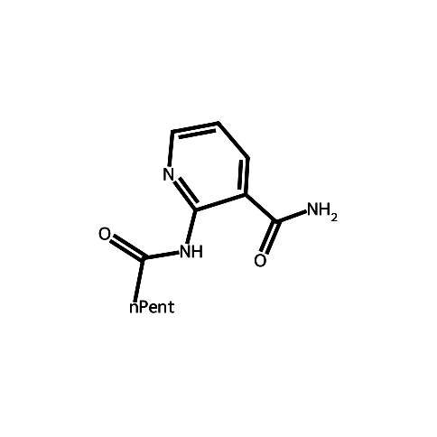 CCCCCC(=O)Nc1ncccc1C(N)=O